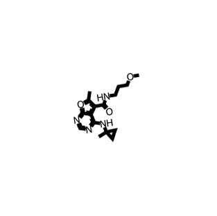 COCCCNC(=O)c1c(C)oc2ncnc(NC3(C)CC3)c12